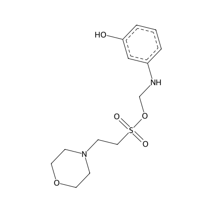 O=S(=O)(CCN1CCOCC1)OCNc1cccc(O)c1